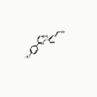 C=C/C(=C\C=C\C(C)C)C/N=C(\C=C/N)c1ccc(C(C)(C)C)cc1